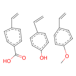 C=Cc1ccc(C(=O)O)cc1.C=Cc1ccc(O)cc1.C=Cc1ccc(OC)cc1